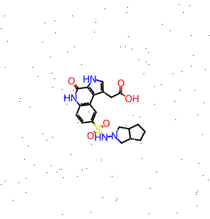 O=C(O)Cc1c[nH]c2c(=O)[nH]c3ccc(S(=O)(=O)NN4CC5CCCC5C4)cc3c12